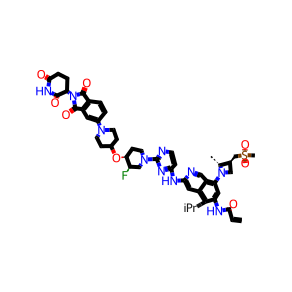 C=CC(=O)Nc1cc(N2C[C@H](CS(C)(=O)=O)[C@H]2C)c2cnc(Nc3ccnc(N4CC[C@@H](OC5CCN(c6ccc7c(c6)C(=O)N(C6CCC(=O)NC6=O)C7=O)CC5)[C@@H](F)C4)n3)cc2c1C(C)C